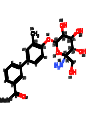 CNC(=O)c1cccc(-c2ccc(O[C@H]3O[C@](N)(CO)[C@@H](O)[C@H](O)[C@@H]3O)c(C)c2)c1